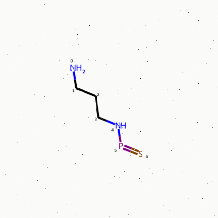 NCCCNP=S